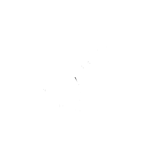 CC1(C)C(O)=C(C#N)C[C@]2(C)c3nn(CC(F)(F)F)cc3CC[C@@H]12